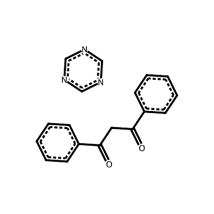 O=C(CC(=O)c1ccccc1)c1ccccc1.c1ncncn1